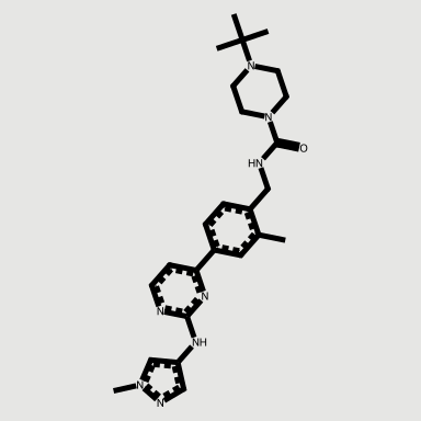 Cc1cc(-c2ccnc(Nc3cnn(C)c3)n2)ccc1CNC(=O)N1CCN(C(C)(C)C)CC1